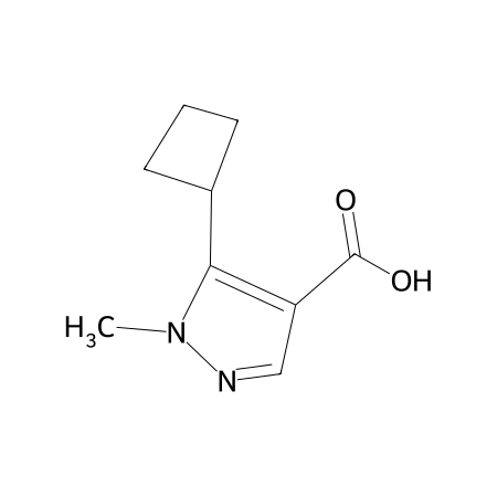 Cn1ncc(C(=O)O)c1C1CCC1